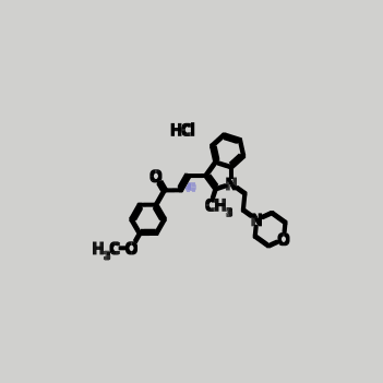 COc1ccc(C(=O)/C=C/c2c(C)n(CCN3CCOCC3)c3ccccc23)cc1.Cl